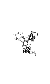 CNS(=O)(=O)c1ccc(NC2CCCCC2)c(-c2cn(C)nn2)c1